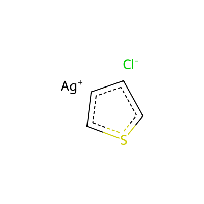 [Ag+].[Cl-].c1ccsc1